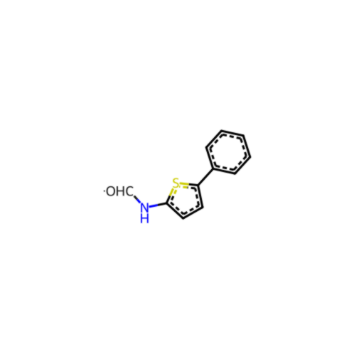 O=[C]Nc1ccc(-c2ccccc2)s1